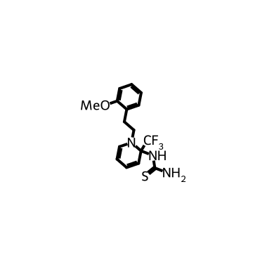 COc1ccccc1CCN1C=CC=CC1(NC(N)=S)C(F)(F)F